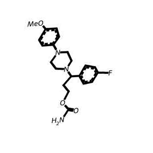 COc1ccc(N2CCN(C(CCOC(N)=O)c3ccc(F)cc3)CC2)cc1